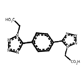 O=C(O)Cn1nnnc1-c1ccc(-c2nnnn2CC(=O)O)cc1